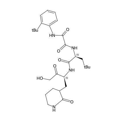 CC(C)(C)C[C@H](NC(=O)C(=O)Nc1ccccc1C(C)(C)C)C(=O)N[C@@H](CC1CCCNC1=O)C(=O)CO